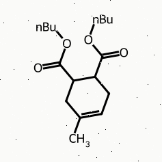 CCCCOC(=O)C1CC=C(C)CC1C(=O)OCCCC